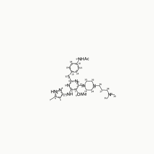 COc1c(Nc2cc(C)[nH]n2)nc(Sc2ccc(NC(C)=O)cc2)nc1N1CCN(CCCN(C)C)CC1